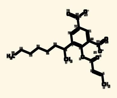 CC=CC(=O)Oc1c(C(C)CCCCCC)cc([N+](=O)[O-])cc1[N+](=O)[O-]